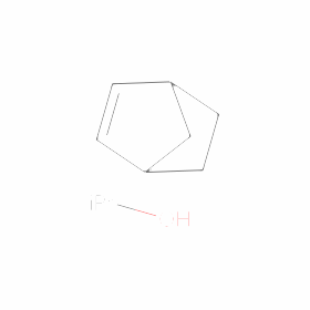 C1=CC2CCC1C2.CC(C)O